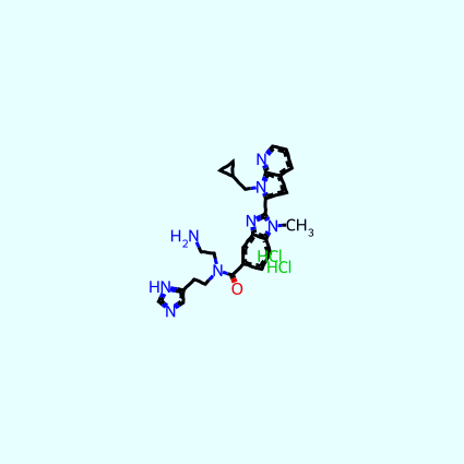 Cl.Cl.Cn1c(-c2cc3cccnc3n2CC2CC2)nc2cc(C(=O)N(CCN)CCc3cnc[nH]3)ccc21